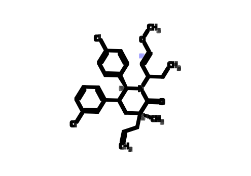 C=CC[C@@]1(C)CC(c2cccc(Cl)c2)[C@@H](c2ccc(Cl)cc2)N(C(/C=C/OC)CC)C1=O